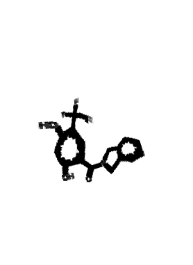 O=C(c1cc(C(F)(F)F)c(O)cc1O)N1Cc2ccccc2C1